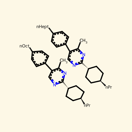 CCCCCCCCc1ccc(-c2cnc([C@H]3CC[C@H](CCC)CC3)nc2C)cc1.CCCCCCCc1ccc(-c2cnc([C@H]3CC[C@H](CCC)CC3)nc2C)cc1